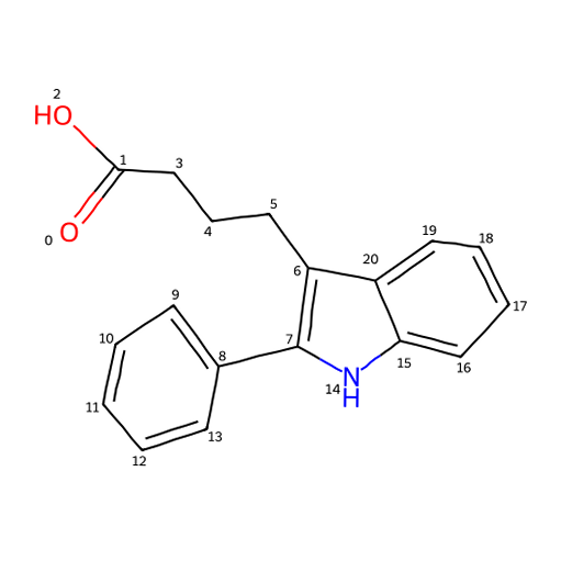 O=C(O)CCCc1c(-c2ccccc2)[nH]c2ccccc12